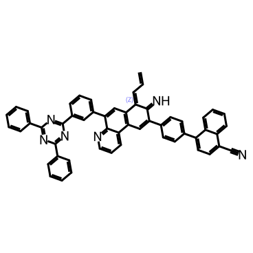 C=C/C=C1\C(=N)C(c2ccc(-c3ccc(C#N)c4ccccc34)cc2)=Cc2c1cc(-c1cccc(-c3nc(-c4ccccc4)nc(-c4ccccc4)n3)c1)c1ncccc21